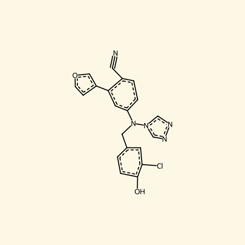 N#Cc1ccc(N(Cc2ccc(O)c(Cl)c2)n2cnnc2)cc1-c1ccoc1